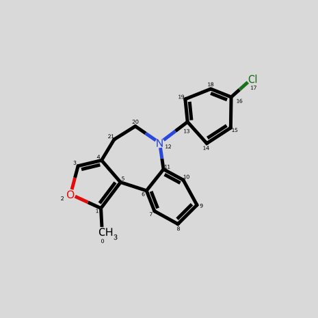 Cc1occ2c1-c1ccccc1N(c1ccc(Cl)cc1)CC2